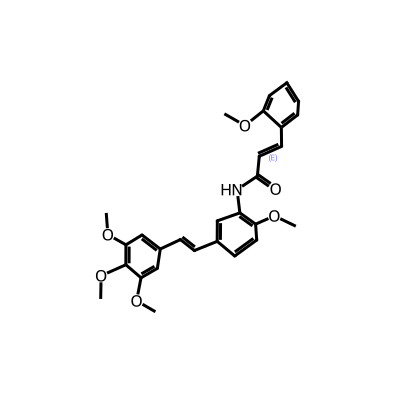 COc1ccccc1/C=C/C(=O)Nc1cc(C=Cc2cc(OC)c(OC)c(OC)c2)ccc1OC